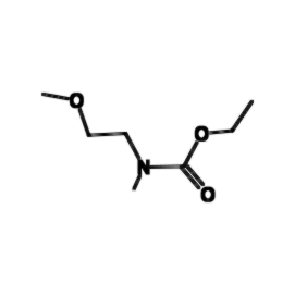 CCOC(=O)N(C)CCOC